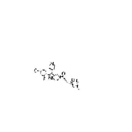 CN(C)CC#CC(=O)N1CCn2nc(-c3ccc(Cl)cc3F)c(-c3ccncc3)c2C1